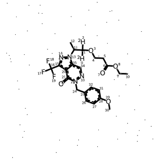 [2H]C([2H])(OCCC(=O)OCC)C(C)n1nc(C(F)(F)F)c2c(=O)n(Cc3ccc(OC)cc3)ncc21